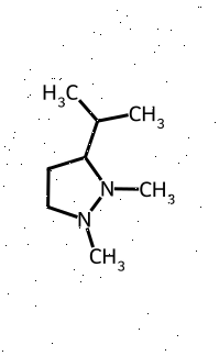 CC(C)C1CCN(C)N1C